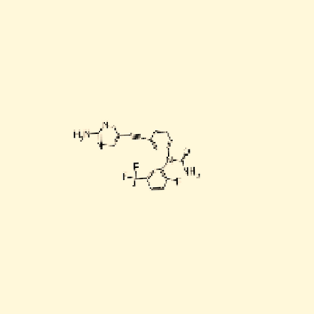 NC(=O)N(c1cccc(C#Cc2cnc(N)nc2)c1)c1cc(C(F)(F)F)ccc1F